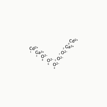 [Cd+2].[Cd+2].[Ga+3].[Ga+3].[O-2].[O-2].[O-2].[O-2].[O-2]